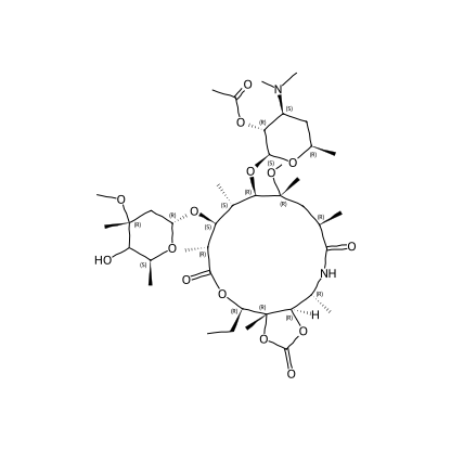 CC[C@H]1OC(=O)[C@H](C)[C@@H](O[C@H]2C[C@@](C)(OC)C(O)[C@H](C)O2)[C@H](C)[C@@H](O[C@@H]2O[C@H](C)C[C@H](N(C)C)[C@H]2OC(C)=O)[C@](C)(OC)C[C@@H](C)C(=O)N[C@H](C)[C@H]2OC(=O)O[C@@]21C